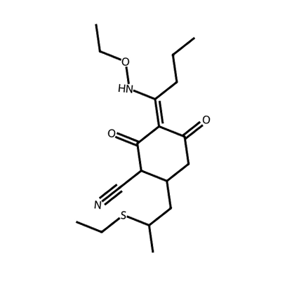 CCCC(NOCC)=C1C(=O)CC(CC(C)SCC)C(C#N)C1=O